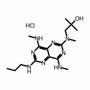 CCCNc1nc(NC)c2nc(N(C)CC(C)(C)O)nc(NC)c2n1.Cl